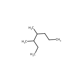 CCCC(C)C(C)CC